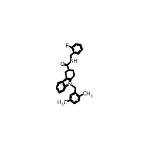 Cc1ccc(C)c(Cn2c3c(c4ccccc42)CC(C(=O)NCc2ccccc2F)CC3)c1